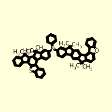 CC1(C)c2cc(N(c3ccccc3)c3ccc4c(c3)C(C)(C)c3c5c(c6sc7ccccc7c6c3-4)-c3ccccc3C5(C)C)ccc2-c2cc3c(cc21)-c1c(ccc2oc4ccccc4c12)C3(C)C